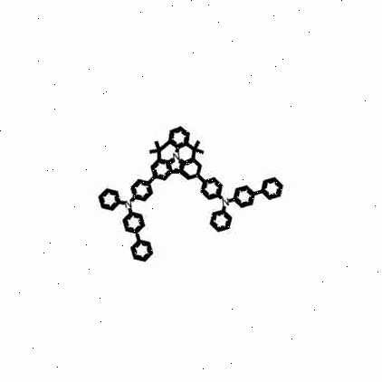 CC1(C)C2=c3c(c4cc(-c5ccc(N(c6ccccc6)c6ccc(-c7ccccc7)cc6)cc5)cc5c4n3-c3c1cccc3C5(C)C)=CC(c1ccc(N(c3ccccc3)c3ccc(-c4ccccc4)cc3)cc1)C2